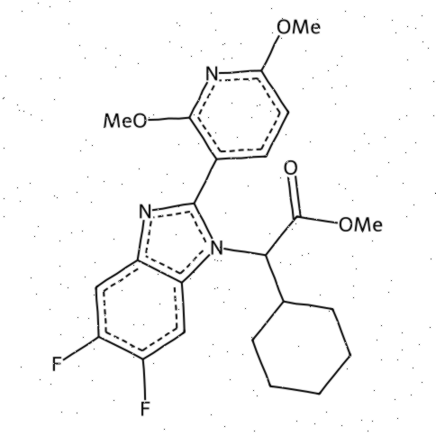 COC(=O)C(C1CCCCC1)n1c(-c2ccc(OC)nc2OC)nc2cc(F)c(F)cc21